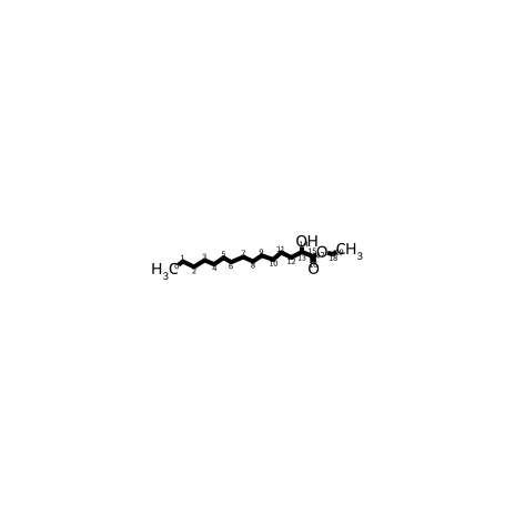 CCCCCCCCCCCCCC(O)C(=O)OCC